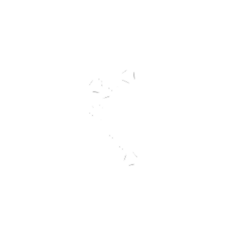 NC(=O)N(CCCCN1CCN(c2cccc(Cl)c2Cl)CC1)c1cn(S(=O)(=O)c2ccccc2)c2ncccc12